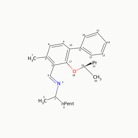 CCCCCC(C)/N=C/c1c(C)ccc(-c2ccccc2)c1O[C@H](C)C(C)C